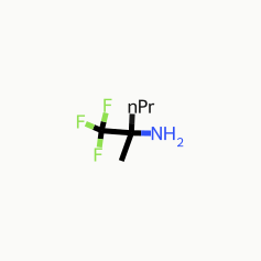 CCCC(C)(N)C(F)(F)F